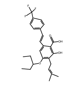 CCC(CC)Oc1cc(/C=C/c2ccc(C(F)(F)F)cc2)c(C(=O)O)c(O)c1CC=C(C)C